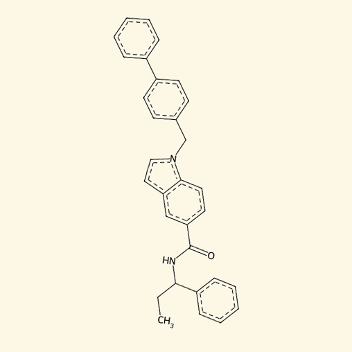 CCC(NC(=O)c1ccc2c(ccn2Cc2ccc(-c3ccccc3)cc2)c1)c1ccccc1